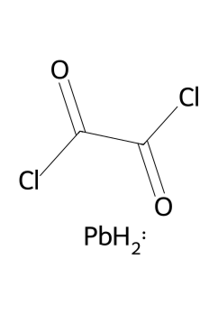 O=C(Cl)C(=O)Cl.[PbH2]